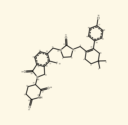 CC1(C)CCC(CN2CCN(Cc3ccc4c(c3F)CN(C3CCC(=O)NC3=O)C4=O)C2=O)=C(c2ccc(Cl)cc2)C1